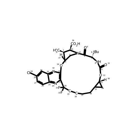 C[C@@H]1[C@@H]2CN(C(=O)[C@H](C(C)(C)C)NC(=O)O[C@@H]3CC3CCCCC(F)(F)c3nc4ccc(Cl)cc4nc3O2)[C@@H]1C(=O)O